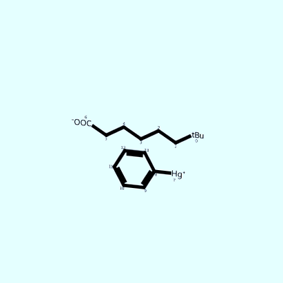 CC(C)(C)CCCCCC(=O)[O-].[Hg+][c]1ccccc1